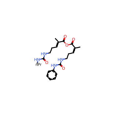 CCCNC(=O)NCCC=C(C)C(=O)OC(=O)C(C)=CCCNC(=O)Nc1ccccc1